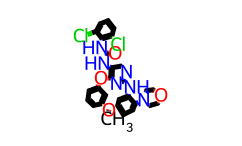 COc1cccc(Oc2nc(Nc3ccccc3N3CCOCC3)ncc2NC(=O)Nc2c(Cl)cccc2Cl)c1